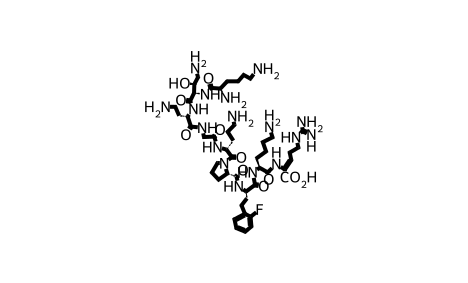 N=C(N)NCC/C=C(\NC(=O)[C@H](CCCCN)NC(=O)[C@H](CCc1ccccc1F)NC(=O)[C@@H]1CCCN1C(=O)[C@@H](CCCN)NC(=O)CNC(=O)[C@H](CCN)NC(=O)[C@@H](NC(=O)[C@@H](N)CCCCN)[C@@H](O)CN)C(=O)O